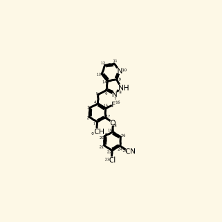 Cc1ccc(Cc2n[nH]c3ncccc23)c(F)c1Oc1ccc(Cl)c(C#N)c1